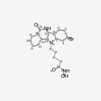 O=C(CCCCn1c2cc(Br)ccc2c2[nH]c(=O)c3ccccc3c21)NO